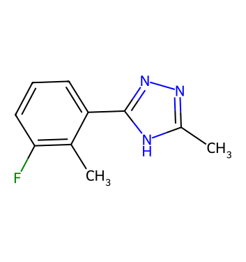 Cc1nnc(-c2cccc(F)c2C)[nH]1